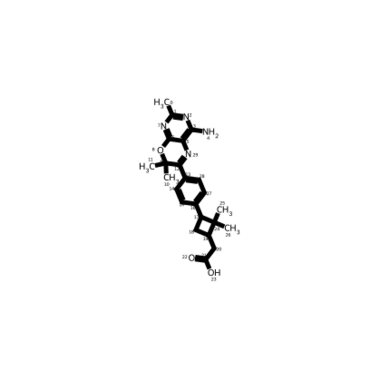 Cc1nc(N)c2c(n1)OC(C)(C)C(c1ccc(C3CC(CC(=O)O)C3(C)C)cc1)=N2